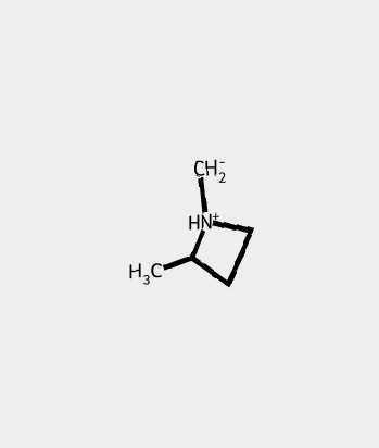 [CH2-][NH+]1CCC1C